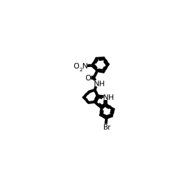 O=C(NC1CCCc2c1[nH]c1ccc(Br)cc21)c1ccccc1[N+](=O)[O-]